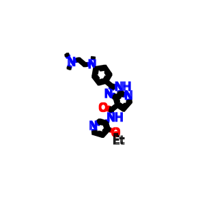 CCOc1ccncc1NC(=O)c1ccnc2[nH]c(-c3ccc(N(C)CCN(C)C)cc3)nc12